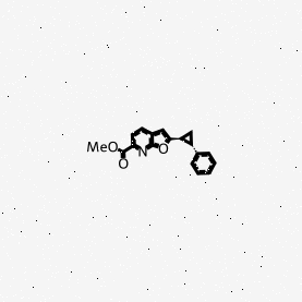 COC(=O)c1ccc2cc([C@H]3C[C@@H]3c3ccccc3)oc2n1